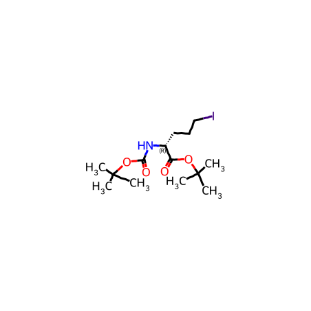 CC(C)(C)OC(=O)N[C@H](CCCI)C(=O)OC(C)(C)C